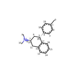 Cc1ccc([C@H]2C[C@H](N(C)C)Cc3ccccc32)cc1